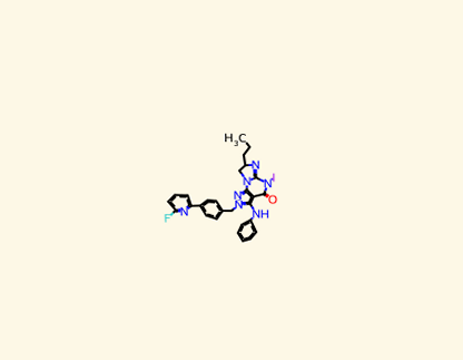 CCCC1CN2C(=N1)N(I)C(=O)c1c2nn(Cc2ccc(-c3cccc(F)n3)cc2)c1Nc1ccccc1